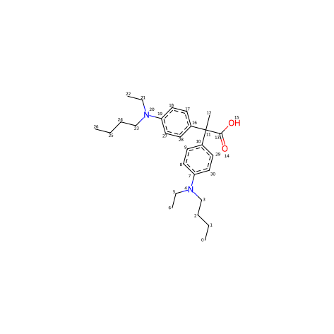 CCCCN(CC)c1ccc(C(C)(C(=O)O)c2ccc(N(CC)CCCC)cc2)cc1